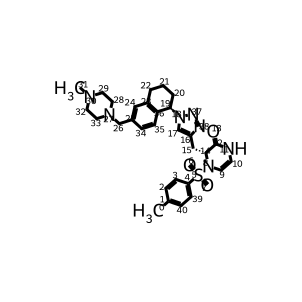 Cc1ccc(S(=O)(=O)N2C=CNC(=O)[C@H]2Cc2cn([C@@H]3CCCc4cc(CN5CCN(C)CC5)ccc43)nn2)cc1